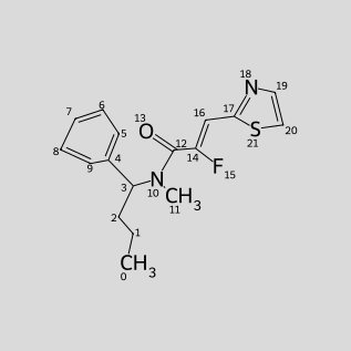 CCCC(c1ccccc1)N(C)C(=O)/C(F)=C/c1nccs1